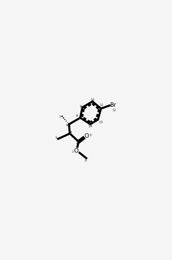 COC(=O)C(C)[C@H](C)c1ccc(Br)cc1